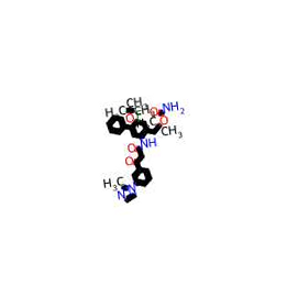 Cc1nccn1-c1cccc(C(=O)CC(=O)NC2=C(CC(C)(C)OC(N)=O)CC(F)(OC(C)(C)C)C(c3ccccc3)=C2)c1